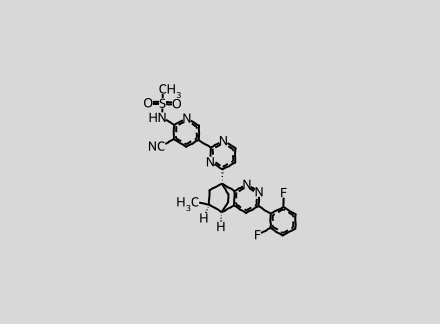 C[C@H]1C[C@]2(c3ccnc(-c4cnc(NS(C)(=O)=O)c(C#N)c4)n3)CC[C@H]1c1cc(-c3c(F)cccc3F)nnc12